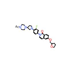 CC(=O)N1CCN(C2CCN(c3ccc(-n4ccc5cc(OC[C@H]6CCCO6)ccc5c4=O)cc3F)C2)CC1